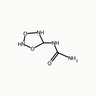 NC(=O)NC1NONO1